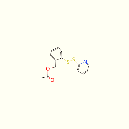 CC(=O)OCc1ccccc1SSc1ccccn1